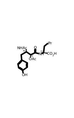 CC(=O)N[C@H](Cc1ccc(O)cc1)[C@H](OC(C)=O)C(=O)N[C@@H](CC(C)C)C(=O)O